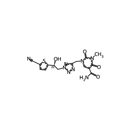 Cn1c(=O)c(C(N)=O)cn(Cc2nnn(C[C@H](O)c3ccc(C#N)s3)n2)c1=O